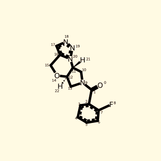 O=C(c1ccccc1F)N1C[C@@H]2[C@@H](C1)OCc1cnnn12